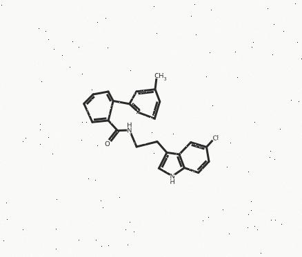 Cc1cccc(-c2ccccc2C(=O)NCCc2c[nH]c3ccc(Cl)cc23)c1